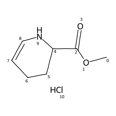 COC(=O)C1CCC=CN1.Cl